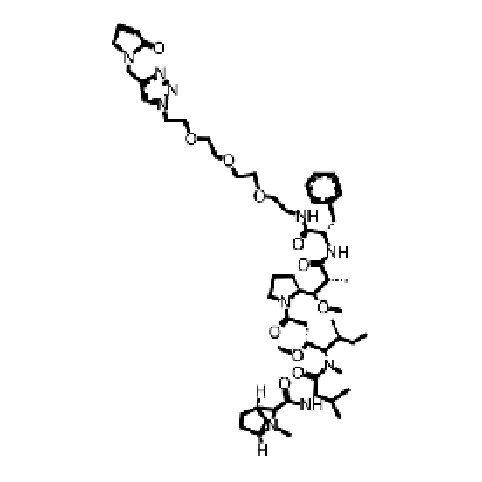 CC[C@H](C)[C@@H]([C@@H](CC(=O)N1CCC[C@H]1[C@H](OC)[C@@H](C)C(=O)N[C@@H](Cc1ccccc1)C(=O)NCCOCCOCCOCCn1cc(CN2CC=CC2=O)nn1)OC)N(C)C(=O)[C@@H](NC(=O)C1[C@H]2CC[C@H](C2)N1C)C(C)C